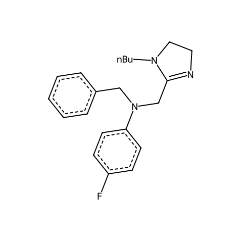 CCCCN1CCN=C1CN(Cc1ccccc1)c1ccc(F)cc1